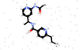 CC(C)C(=O)Nc1cc(C(C)NC(=O)c2ccc(CCC(F)(F)F)nc2)ccn1